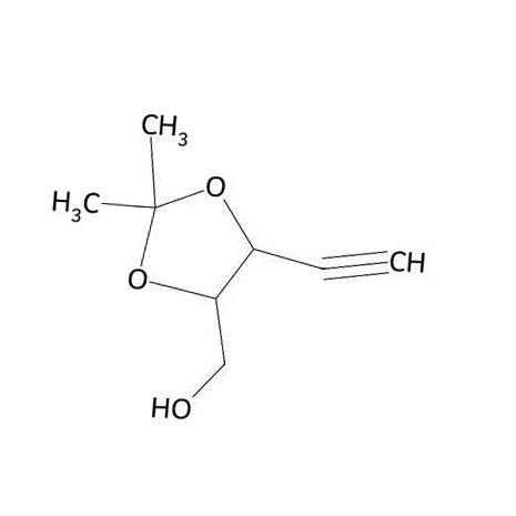 C#CC1OC(C)(C)OC1CO